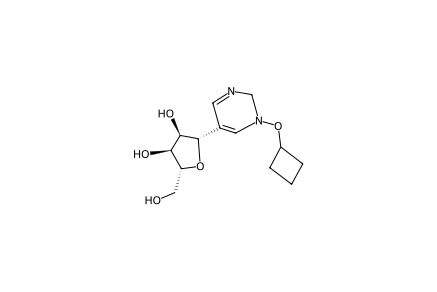 OC[C@H]1O[C@@H](C2=CN(OC3CCC3)CN=C2)[C@H](O)[C@@H]1O